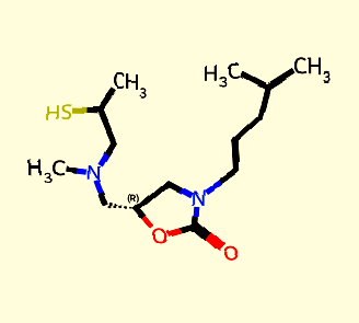 CC(C)CCCN1C[C@@H](CN(C)CC(C)S)OC1=O